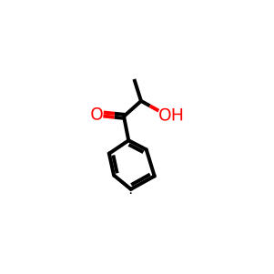 CC(O)C(=O)c1cc[c]cc1